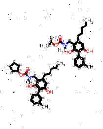 CCCCCc1cc(O)c(-c2cccc(C)c2)c(O)c1CN(C)C(=O)OC(C)C.CCCCCc1cc(O)c(-c2cccc(C)c2)c(O)c1CN(C)C(=O)OC1CCCC1